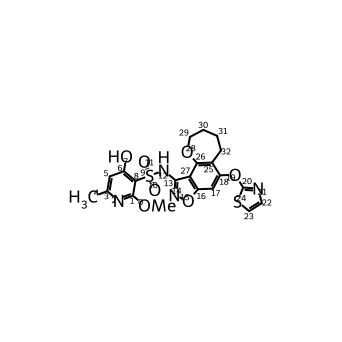 COc1nc(C)cc(O)c1S(=O)(=O)Nc1noc2cc(Oc3nccs3)c3c(c12)OCCCC3